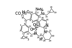 Cc1ccc(C(CC(=O)O)c2ccc3c(nnn3CC3CC3)c2C)cc1CN1C[C@@H]2CCCCN2c2ncccc2S1(=O)=O